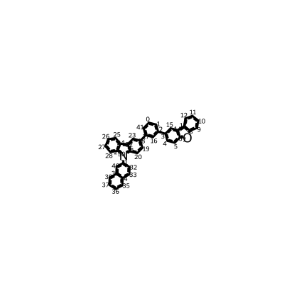 c1cc(-c2ccc3oc4ccccc4c3c2)cc(-c2ccc3c(c2)c2ccccc2n3-c2ccc3ccccc3c2)c1